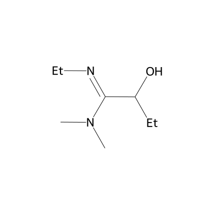 CCN=C(C(O)CC)N(C)C